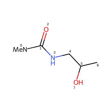 CNC(=O)NCC(C)O